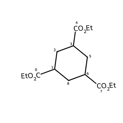 CCOC(=O)C1CC(C(=O)OCC)CC(C(=O)OCC)C1